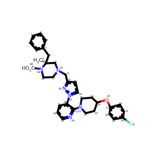 C[C@]1(Cc2ccccc2)CN(Cc2ccn(-c3cccnc3N3CCC(Oc4ccc(F)cc4)CC3)n2)CCN1C(=O)O